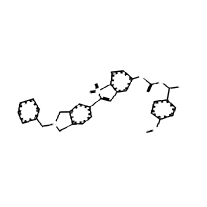 COc1ccc(C(C)NC(=O)Nc2ccc3c(c2)C=C(c2ccc4c(c2)CN(Cc2ccccc2)C4)S3(=O)=O)cc1